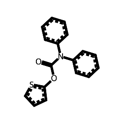 O=C(Oc1cccs1)N(c1ccccc1)c1ccccc1